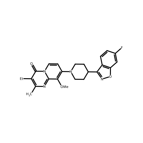 CCc1c(C)nc2c(OC)c(N3CCC(c4noc5cc(F)ccc45)CC3)ccn2c1=O